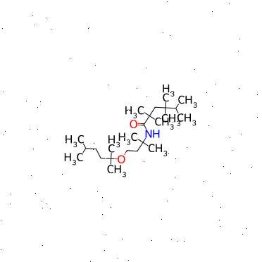 CC(C)CCC(C)(C)OCCC(C)(C)NC(=O)C(C)(C)CC(C)(C)C(C)C